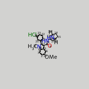 COc1ccc2c(c1)c(C(=O)N[C@H]1C[C@H]3CC[C@@H](C1)N3)c(-c1ccccc1)n2C.Cl